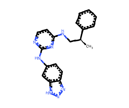 C[C@@H](CNc1ccnc(Nc2ccc3nn[nH]c3c2)n1)c1ccccc1